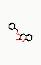 O=c1oc2ccccc2cc1OCc1ccccc1